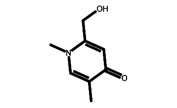 Cc1cn(C)c(CO)cc1=O